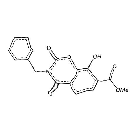 COC(=O)c1ccc2c(=O)n(Cc3ccccc3)c(=O)oc2c1O